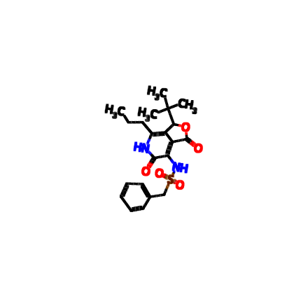 CCCc1[nH]c(=O)c(NS(=O)(=O)Cc2ccccc2)c2c1C(C(C)(C)C)OC2=O